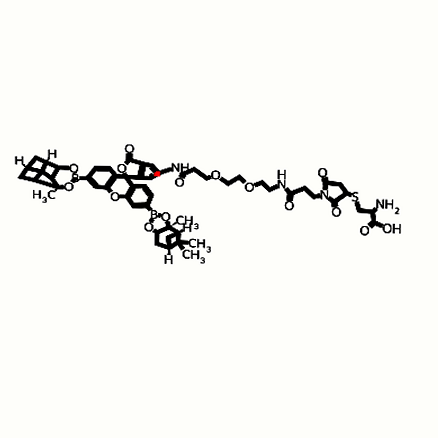 CC1(C)[C@@H]2CC3OB(c4ccc5c(c4)Oc4cc(B6OC7C8C9%10C(C[C@H]9C[C@@H]7%10)[C@]8(C)O6)ccc4C54OC(=O)c5cc(NC(=O)CCOCCOCCNC(=O)CCN6C(=O)CC(SCC(N)C(=O)O)C6=O)ccc54)O[C@@]3(C)[C@H]1C2